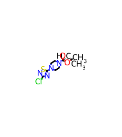 CC(C)(C)OC(=O)N1CCN(c2nc(Cl)ns2)CC1